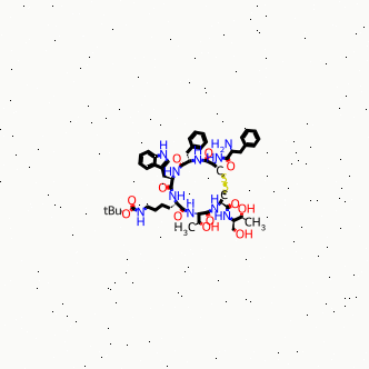 C[C@@H](O)[C@@H]1NC(=O)[C@H](CCCCNC(=O)OC(C)(C)C)NC(=O)[C@@H](Cc2c[nH]c3ccccc23)NC(=O)[C@H](Cc2ccccc2)NC(=O)[C@@H](NC(=O)[C@H](N)Cc2ccccc2)CSSC[C@@H](C(=O)N[C@H](CO)[C@@H](C)O)NC1=O